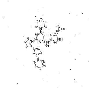 c1cnc(-c2cc([C@@H]3CCCN3c3nc(Nc4cc(C5CC5)[nH]n4)cc(N4CCOCC4)n3)on2)nc1